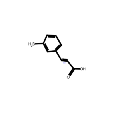 Bc1cccc(/C=C/C(=O)O)c1